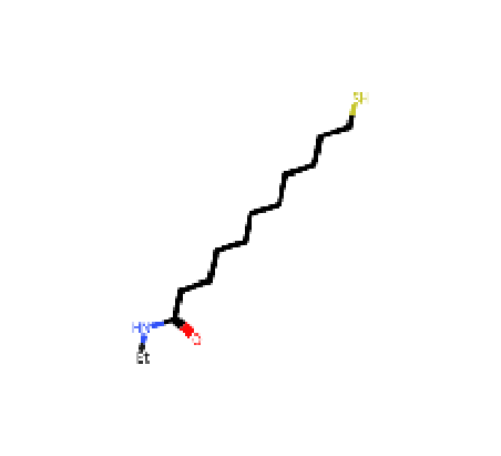 CCNC(=O)CCCCCCCCCCS